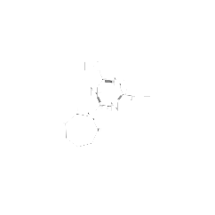 Cc1nc(C)nc(N2CCCCCC2)n1